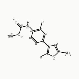 Cc1cc(-c2nc(N)sc2C)ccc1NC(=O)OC(C)(C)C